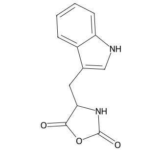 O=C1NC(Cc2c[nH]c3ccccc23)C(=O)O1